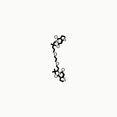 CC(C)(CCCOCCCOCCC(N1C(=O)C=C2SCCC2C1=O)C(C)(C)C)CN1C(=O)C=C2SCCC2C1=O